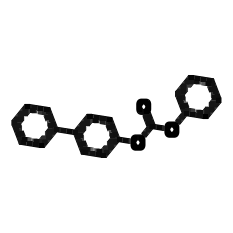 O=C(Oc1ccccc1)Oc1ccc(-c2ccccc2)cc1